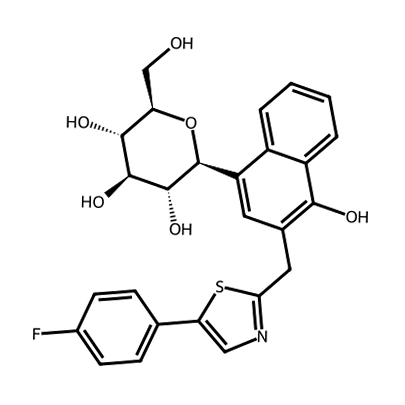 OC[C@H]1O[C@@H](c2cc(Cc3ncc(-c4ccc(F)cc4)s3)c(O)c3ccccc23)[C@H](O)[C@@H](O)[C@@H]1O